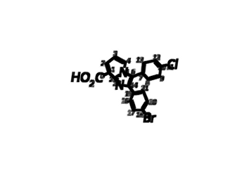 O=C(O)c1cccn2c(-c3ccc(Cl)cc3)c(-c3ccc(Br)cc3)nc12